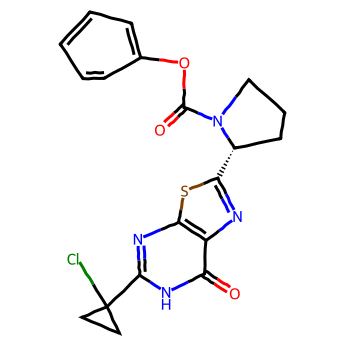 O=C(Oc1ccccc1)N1CCC[C@@H]1c1nc2c(=O)[nH]c(C3(Cl)CC3)nc2s1